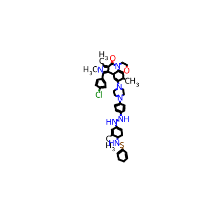 CC1=CC(NNc2ccc(N3CCN(C4=CC5C6=C(OCCN6C(=O)c6c5c(-c5ccc(Cl)cc5)n(C)c6C)C4C)CC3)cc2)=CCC1NSC1=CCCC=C1